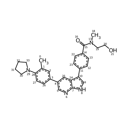 Cc1cc(-c2cnc3[nH]cc(-c4ccc(C(=O)N(C)CCO)cc4)c3c2)ccc1N1CCCC1